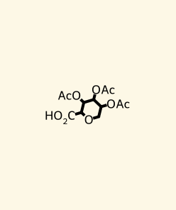 CC(=O)OC1COC(C(=O)O)C(OC(C)=O)C1OC(C)=O